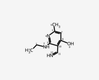 CCNc1nc(C)cc(O)c1C=N